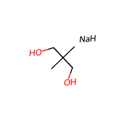 CC(C)(CO)CO.[NaH]